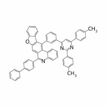 Cc1ccc(-c2cc(-c3cccc(-c4c5c(cc6c(-c7ccc(-c8ccccc8)cc7)nc7ccccc7c46)oc4ccccc45)c3)nc(-c3ccc(C)cc3)n2)cc1